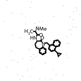 CN[C@@H](C)C(=O)N[C@H]1CCc2ccccc2N(Cc2ccc(C3CC3)c3ccccc23)C1=O